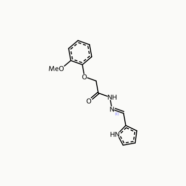 COc1ccccc1OCC(=O)N/N=C/c1ccc[nH]1